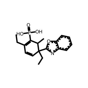 CCC1=C(P(=O)(O)O)C(C)C(CC)(c2nc3ccccc3o2)C=C1